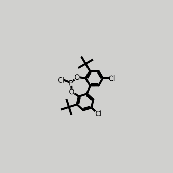 CC(C)(C)c1cc(Cl)cc2c1op(Cl)oc1c(C(C)(C)C)cc(Cl)cc12